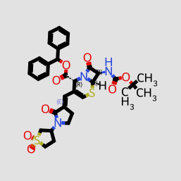 CC(C)(C)OC(=O)N[C@@H]1C(=O)N2[C@@H](C(=O)OC(c3ccccc3)c3ccccc3)C(/C=C3\CCN(C4CCS(=O)(=O)C4)C3=O)=CS[C@H]12